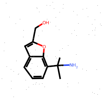 CC(C)(N)c1cccc2cc(CO)oc12